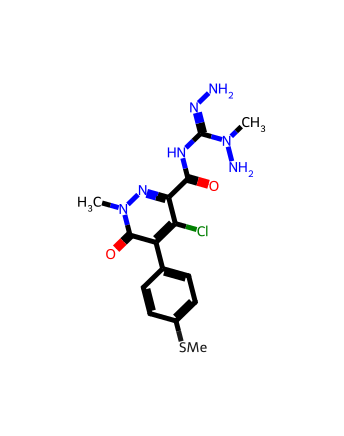 CSc1ccc(-c2c(Cl)c(C(=O)N/C(=N/N)N(C)N)nn(C)c2=O)cc1